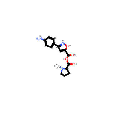 CN1CCCC1C(=O)OC(=O)c1cc(-c2ccc(N)cc2)no1